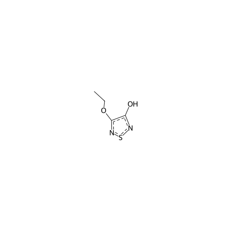 CCOc1nsnc1O